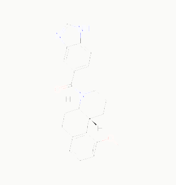 COc1cccc2c1[C@H]1CCCN(C(=O)c3ccc4[nH]cnc4c3)[C@@H]1CC2